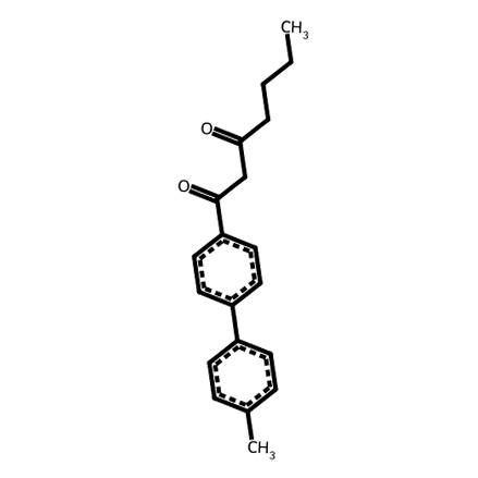 CCCCC(=O)CC(=O)c1ccc(-c2ccc(C)cc2)cc1